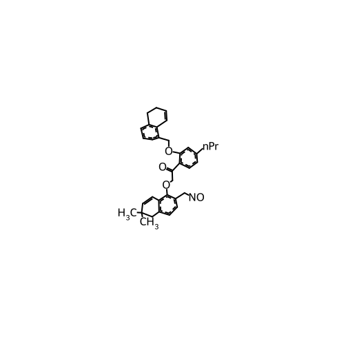 CCCc1ccc(C(=O)COc2c(CN=O)ccc3c2C=CC(C)(C)C3)c(OCc2cccc3c2C=CCC3)c1